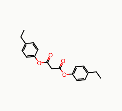 CCc1ccc(OC(=O)CC(=O)Oc2ccc(CC)cc2)cc1